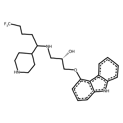 O[C@@H](CNC(CCCC(F)(F)F)C1CCNCC1)COc1cccc2[nH]c3ccccc3c12